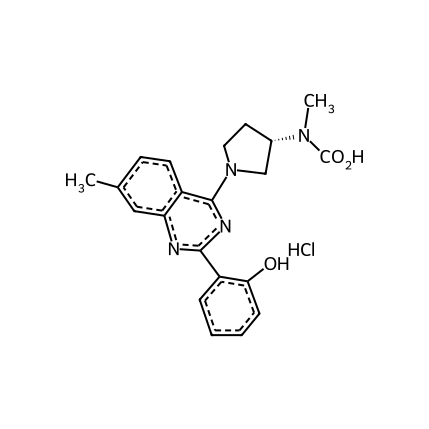 Cc1ccc2c(N3CC[C@H](N(C)C(=O)O)C3)nc(-c3ccccc3O)nc2c1.Cl